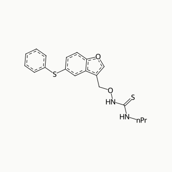 CCCNC(=S)NOCc1coc2ccc(Sc3ccccc3)cc12